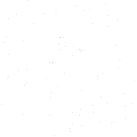 Br.CCCCCCCCCCCCC(N)C(C)(C)Oc1ccccc1